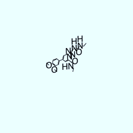 CCNC(=O)Nc1nc2cc(-c3ccc(OC)c(OC)c3)cc(C(=O)NCC)n2n1